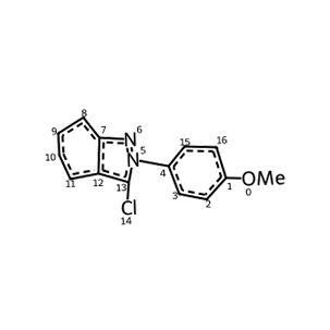 COc1ccc(-n2nc3ccccc3c2Cl)cc1